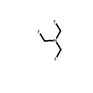 FCN(CF)CF